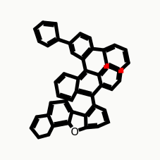 C1=Cc2ccc3c(oc4cccc(-c5c6ccccc6c(-c6cc(-c7ccccc7)ccc6-c6ccccc6)c6ccccc56)c43)c2CC1